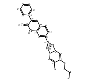 CCCCC1=CC2C(C=C1C)n1n(-c3ccc4cc(-c5ccccc5)c(=O)oc4c3)n12